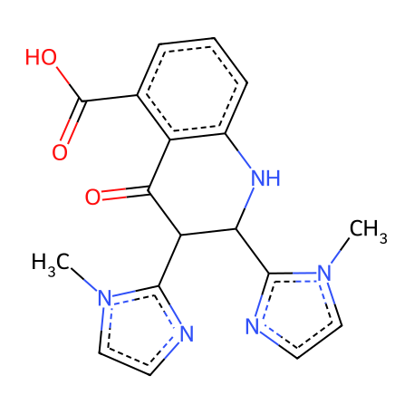 Cn1ccnc1C1Nc2cccc(C(=O)O)c2C(=O)C1c1nccn1C